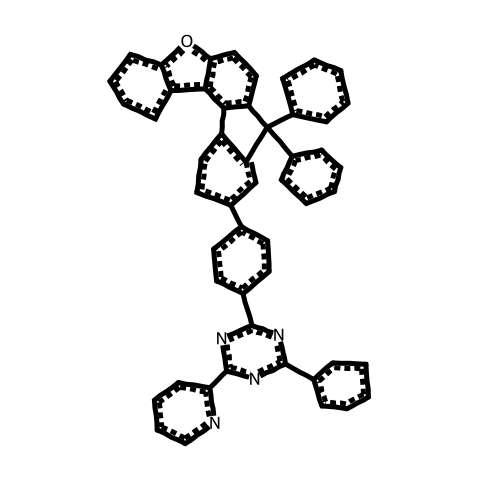 c1ccc(-c2nc(-c3ccc(-c4ccc5c(c4)C(c4ccccc4)(c4ccccc4)c4ccc6oc7ccccc7c6c4-5)cc3)nc(-c3ccccn3)n2)cc1